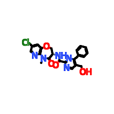 CN1C(=O)[C@@H](NC(=O)c2ncc(CO)c(-c3ccccc3)n2)COc2cc(Cl)cnc21